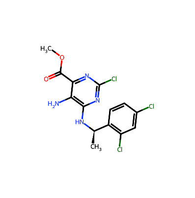 COC(=O)c1nc(Cl)nc(N[C@H](C)c2ccc(Cl)cc2Cl)c1N